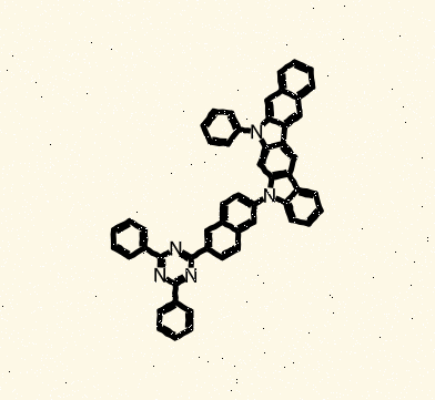 c1ccc(-c2nc(-c3ccccc3)nc(-c3ccc4cc(-n5c6ccccc6c6cc7c8cc9ccccc9cc8n(-c8ccccc8)c7cc65)ccc4c3)n2)cc1